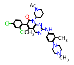 CC(=O)N1CCCC(n2c(=O)c(-c3ccc(Cl)cc3Cl)c(C)c3cnc(Nc4ccc(N5CCN(C)CC5)c(C)c4)nc32)C1